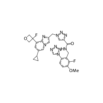 COc1ccc(-n2cnnn2)c(CNC(=O)c2cn(Cc3cn4cc(C5CC5)cc(C5(F)COC5)c4n3)nn2)c1F